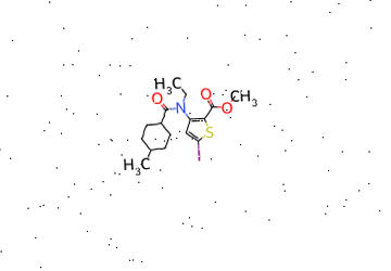 CCN(C(=O)C1CCC(C)CC1)c1cc(I)sc1C(=O)OC